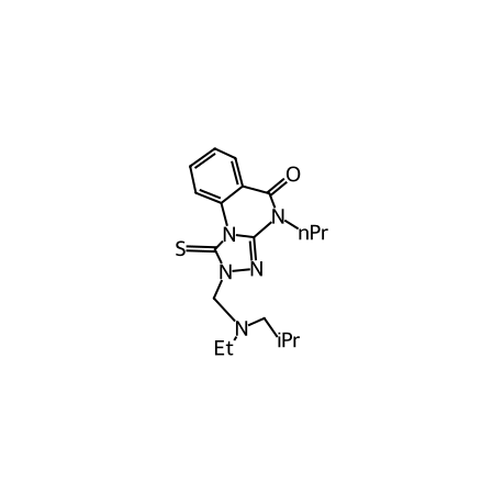 CCCn1c(=O)c2ccccc2n2c(=S)n(CN(CC)CC(C)C)nc12